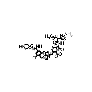 CO/N=C(\C(=O)N[C@@H]1C(=O)N2C(C(=O)[O-])=C(C[n+]3ccc4n(Cc5c(F)cc(C(=N)NOC6CCNCC6)cc5Cl)ccn43)CS[C@H]12)c1csc(N)n1